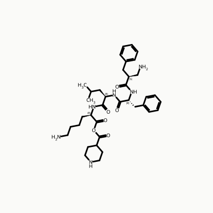 CC(C)C[C@@H](NC(=O)[C@@H](Cc1ccccc1)NC(=O)[C@H](CN)Cc1ccccc1)C(=O)N[C@H](CCCCN)C(=O)OC(=O)C1CCNCC1